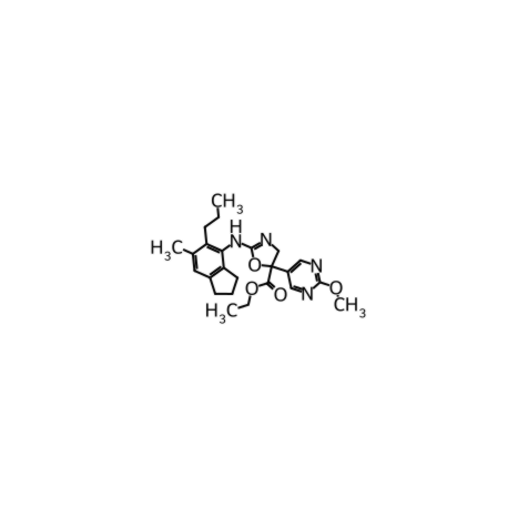 CCCc1c(C)cc2c(c1NC1=NCC(C(=O)OCC)(c3cnc(OC)nc3)O1)CCC2